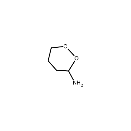 NC1CCCOO1